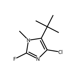 Cn1c(F)nc(Cl)c1C(C)(C)C